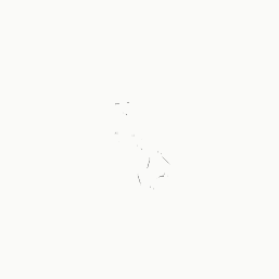 CCS(=O)(=O)N1C[C@H](C)[C@H](C(C)N(C)c2ncnc3[nH]ccc23)C1